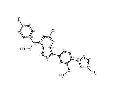 COc1cc(-c2nnc3n([C@H](CO)c4ccc(F)cc4)cc(Cl)cc2-3)ccc1-n1cnc(C)c1